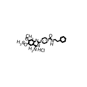 COc1cc2nc(N3CCN(C(=O)NCCc4ccccc4)CC3)nc(N)c2cc1OC.Cl